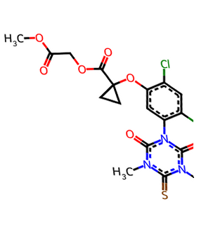 COC(=O)COC(=O)C1(Oc2cc(-n3c(=O)n(C)c(=S)n(C)c3=O)c(F)cc2Cl)CC1